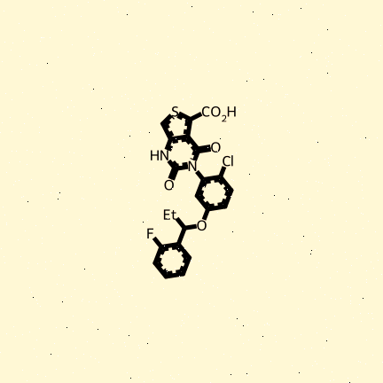 CCC(Oc1ccc(Cl)c(-n2c(=O)[nH]c3csc(C(=O)O)c3c2=O)c1)c1ccccc1F